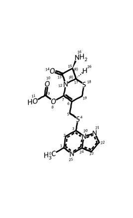 Cc1cc(SCC2=C(OC(=O)O)N3C(=O)[C@@H](N)[C@H]3SC2)n2nccc2n1